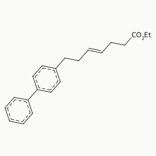 CCOC(=O)CCC=CCCc1ccc(-c2ccccc2)cc1